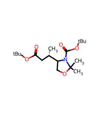 C[C@@H](CC(=O)OC(C)(C)C)C1COC(C)(C)N1C(=O)OC(C)(C)C